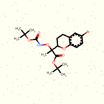 CC(C)(C)OC(=O)NOC(C)(C(=O)OC(C)(C)C)C1CCc2cc(Br)ccc2O1